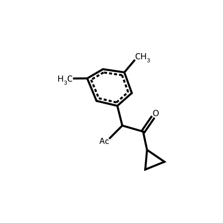 CC(=O)C(C(=O)C1CC1)c1cc(C)cc(C)c1